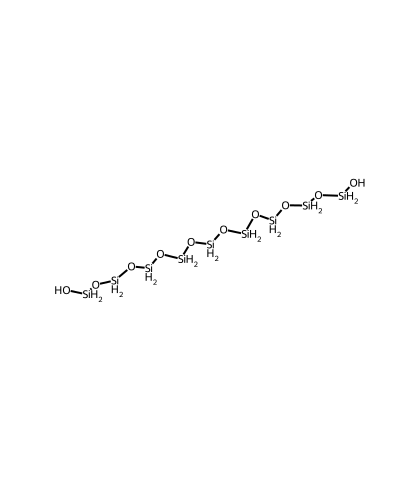 O[SiH2]O[SiH2]O[SiH2]O[SiH2]O[SiH2]O[SiH2]O[SiH2]O[SiH2]O[SiH2]O